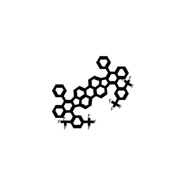 FC(F)(F)c1ccc(C(F)(F)F)c(-c2c3c(c(-c4ccccc4)c4ccccc24)-c2ccc4c5c6c(c7ccc-3c2c74)C=CC2c3c(c(-c4ccccc4)c4ccccc4c3-c3cc(C(F)(F)F)ccc3C(F)(F)F)C(=CC=5)C62)c1